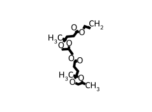 C=CCOC(=O)CCC1(C)OCC(COC(=O)CCC2(C)OCC(C)O2)O1